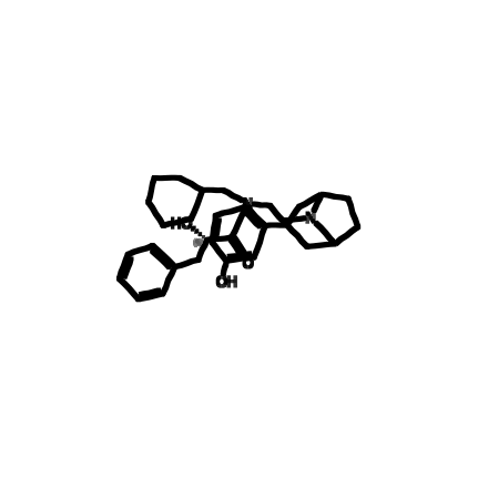 O=C([C@@H](O)Cc1ccccc1)N(CCN1C2CCC1CC(c1cccc(O)c1)C2)CC1CCCCC1